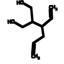 C=CCC(C=C)C(CO)CO